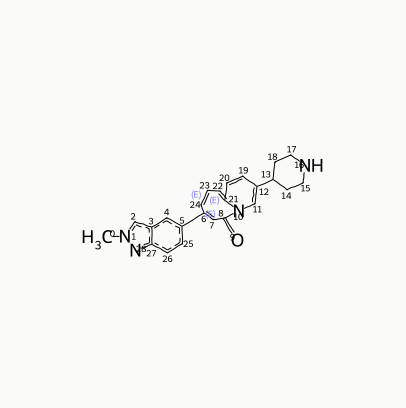 Cn1cc2cc(C3=C\C(=O)N4C=C(C5CCNCC5)C=C\C4=C/C=C/3)ccc2n1